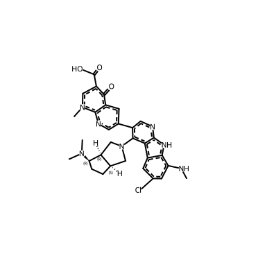 CNc1cc(Cl)cc2c1[nH]c1ncc(-c3cnc4c(c3)c(=O)c(C(=O)O)cn4C)c(N3C[C@H]4CC[C@@H](N(C)C)[C@H]4C3)c12